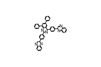 c1ccc(-c2cc(-c3ccccc3)c3nc(-c4ccc(-c5cnc6ccccc6n5)cc4)nc(-c4ccc(-c5cnc6ccccc6n5)cc4)c3c2)cc1